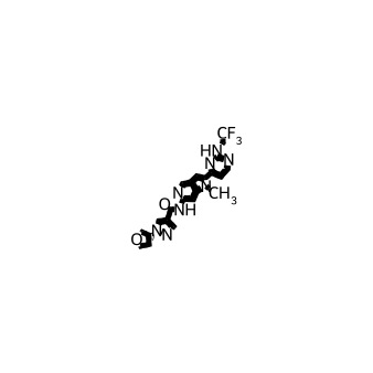 Cn1c(-c2ccnc(NCC(F)(F)F)n2)cc2cnc(NC(=O)c3cnn([C@@H]4CCOC4)c3)cc21